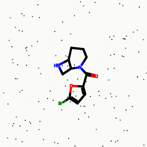 O=C(c1ccc(Br)o1)N1CCCC2NCC21